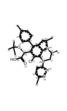 Cc1ccc(-c2c([C@H](OC(C)(C)C)C(=O)O)c(Cl)c3c4c2cc(C)n4[C@@H](C)CN3c2ccc(C)nn2)cc1